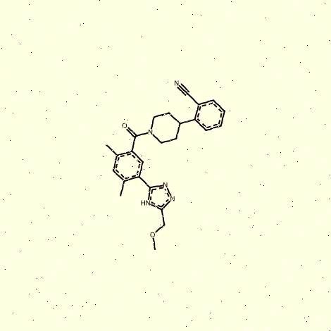 COCc1nnc(-c2cc(C(=O)N3CCC(c4ccccc4C#N)CC3)c(C)cc2C)[nH]1